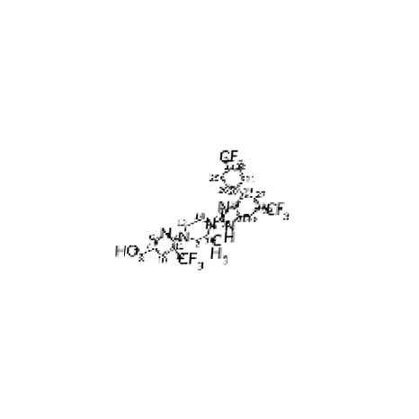 C[C@@H]1CN(c2ncc(CO)cc2C(F)(F)F)CCN1c1nc2c(-c3ccc(C(F)(F)F)cc3)cc(C(F)(F)F)cc2[nH]1